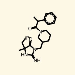 CC(C)CC1(C)NC(=N)N(CC2CCCN(C(=O)C(C)c3ccccc3)C2)C1=O